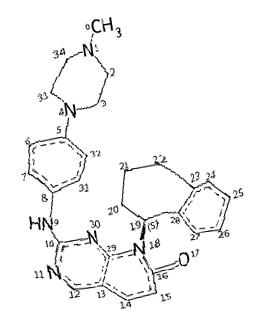 CN1CCN(c2ccc(Nc3ncc4ccc(=O)n([C@H]5CCCc6ccccc65)c4n3)cc2)CC1